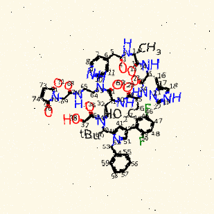 C[C@H](NC(=O)Cc1ccncc1)C(=O)N[C@H](Cc1c[nH]cn1)C(=O)N[C@@H](CC(=O)O)C(=O)N[C@@H](CCN(C(=O)CO)[C@@H](c1cc(-c2cc(F)ccc2F)cn1Cc1ccccc1)C(C)(C)C)C(=O)NCCNC(=O)CN1C(=O)C=CC1=O